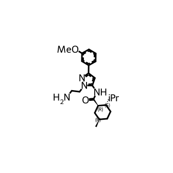 COc1cccc(-c2cc(NC(=O)[C@@H]3C[C@H](C)CC[C@H]3C(C)C)n(CCN)n2)c1